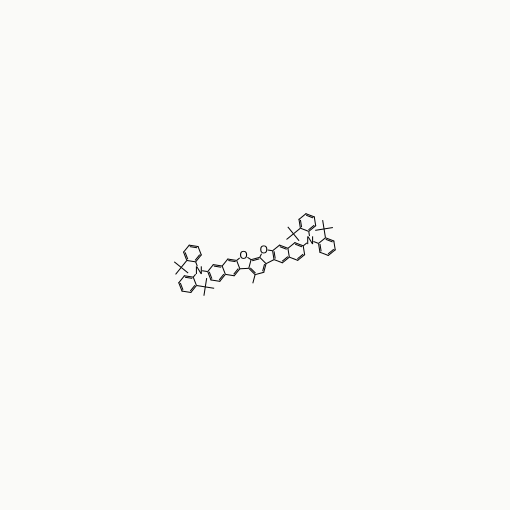 Cc1cc2c3cc4ccc(N(c5ccccc5C(C)(C)C)c5ccccc5C(C)(C)C)cc4cc3oc2c2oc3cc4cc(N(c5ccccc5C(C)(C)C)c5ccccc5C(C)(C)C)ccc4cc3c12